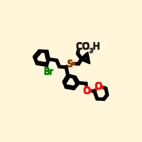 O=C(O)CC1(CSC(CCc2ccccc2Br)c2cccc(COC3CCCCO3)c2)CC1